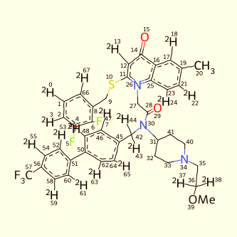 [2H]c1c([2H])c(F)c(F)c(CSc2c([2H])c(=O)c3c([2H])c(C)c([2H])c([2H])c3n2CC(=O)N(C2CCN(CC([2H])([2H])OC)CC2)C([2H])([2H])c2c([2H])c([2H])c(-c3c([2H])c([2H])c(C(F)(F)F)c([2H])c3[2H])c([2H])c2[2H])c1[2H]